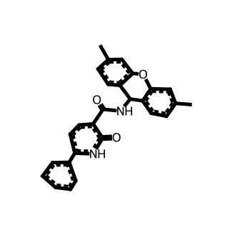 Cc1ccc2c(c1)Oc1cc(C)ccc1C2NC(=O)c1ccc(-c2ccccc2)[nH]c1=O